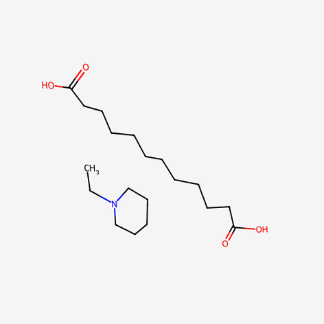 CCN1CCCCC1.O=C(O)CCCCCCCCCCC(=O)O